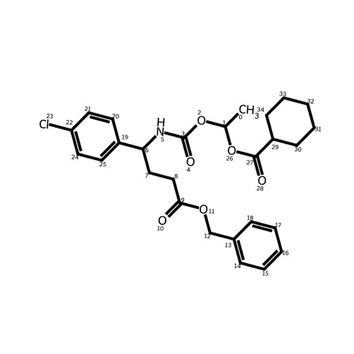 CC(OC(=O)NC(CCC(=O)OCc1ccccc1)c1ccc(Cl)cc1)OC(=O)C1CCCCC1